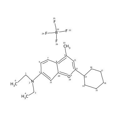 CCN(CC)c1ccc2c(C)cc(C3CCCCC3)[o+]c2c1.F[B-](F)(F)F